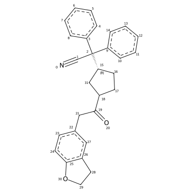 N#CC(c1ccccc1)(c1ccccc1)[C@@H]1CCC(C(=O)Cc2ccc3c(c2)CCO3)C1